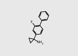 NC1(c2ccc(-c3ccccc3)c(F)c2)CC1